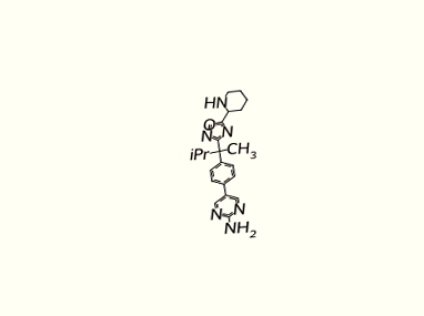 CC(C)C(C)(c1ccc(-c2cnc(N)nc2)cc1)c1noc(C2CCCCN2)n1